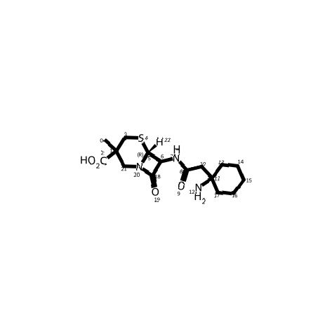 CC1(C(=O)O)CS[C@@H]2C(NC(=O)CC3(N)CCCCC3)C(=O)N2C1